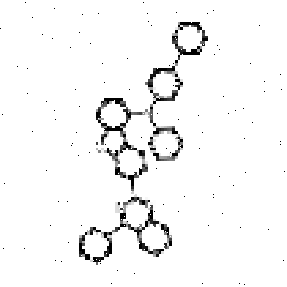 c1ccc(-c2ccc(N(c3ccccc3)c3cccc4oc5cc(-c6nc(-c7ccccc7)c7ccccc7n6)ccc5c34)cc2)cc1